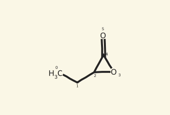 CCC1OC1=O